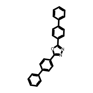 c1ccc(-c2ccc(-c3nnc(-c4ccc(-c5ccccc5)cc4)o3)cc2)cc1